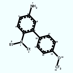 CCN(CC)c1ccc(N)cc1-c1ccc(OC(F)(F)F)cc1